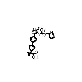 Cc1nsc(-c2ccc(-c3ccc(C4(C(=O)O)CC4)cc3)cc2)c1NC(=O)OCc1ccccn1